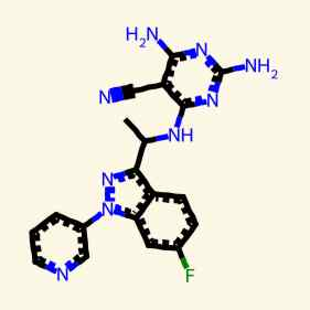 CC(Nc1nc(N)nc(N)c1C#N)c1nn(-c2cccnc2)c2cc(F)ccc12